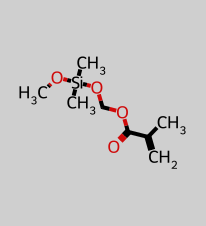 C=C(C)C(=O)OCO[Si](C)(C)OC